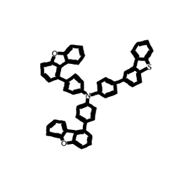 c1ccc2c(c1)oc1cccc(-c3ccc(N(c4ccc(-c5ccc6sc7ccccc7c6c5)cc4)c4ccc(-c5cccc6oc7ccccc7c56)cc4)cc3)c12